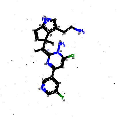 C/C(=C1\N=C(c2cncc(F)c2)C=C(Cl)N1N)C1(C)C=Cc2[nH]cc(CCN)c21